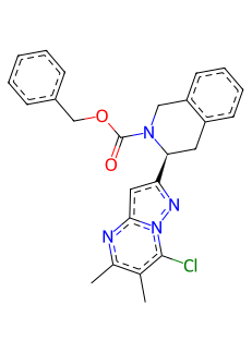 Cc1nc2cc([C@@H]3Cc4ccccc4CN3C(=O)OCc3ccccc3)nn2c(Cl)c1C